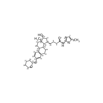 Cc1cnc(NC(=O)CCC[C@@H]2C[C@H](O)[C@@]3(C)CCC4c5ccc(OC6CCCCO6)cc5CCC4C23)s1